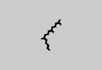 C/C=C/C/C=C(\C)CC/C=C(\C)CCC=C(C)C